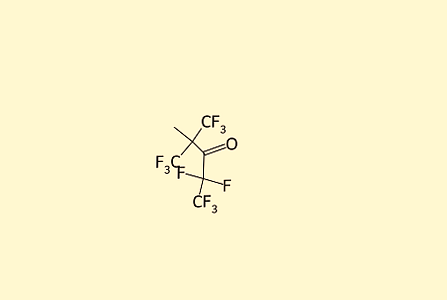 CC(C(=O)C(F)(F)C(F)(F)F)(C(F)(F)F)C(F)(F)F